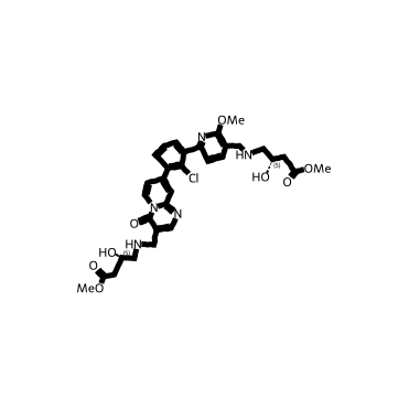 COC(=O)C[C@H](O)CNCc1ccc(-c2cccc(-c3ccn4c(=O)c(CNC[C@@H](O)CC(=O)OC)cnc4c3)c2Cl)nc1OC